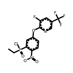 CCP(=O)(Cl)c1cc(Oc2ncc(C(F)(F)F)cc2F)ccc1[N+](=O)[O-]